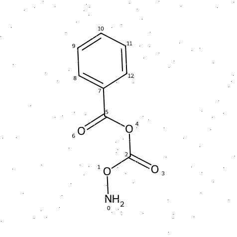 NOC(=O)OC(=O)c1ccccc1